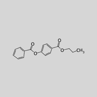 CCCOC(=O)c1ccc(OC(=O)c2ccccc2)cc1